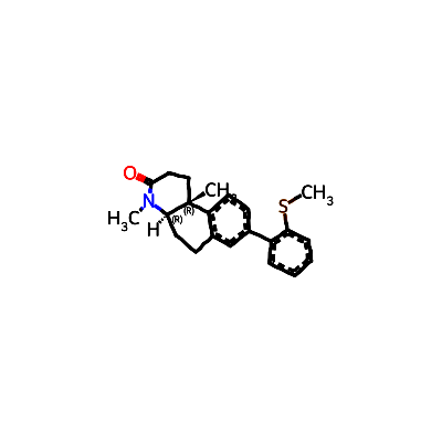 CSc1ccccc1-c1ccc2c(c1)CC[C@H]1N(C)C(=O)CC[C@]21C